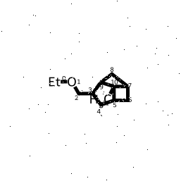 CCOCC1CC2CC3CC1C23C